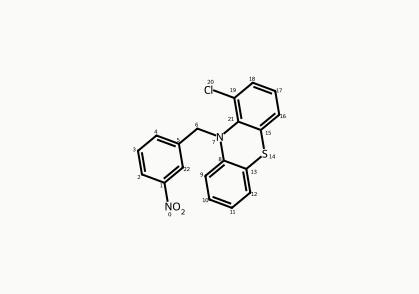 O=[N+]([O-])c1cccc(CN2c3ccccc3Sc3cccc(Cl)c32)c1